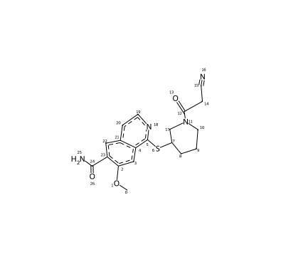 COc1cc2c(SC3CCCN(C(=O)CC#N)C3)nccc2cc1C(N)=O